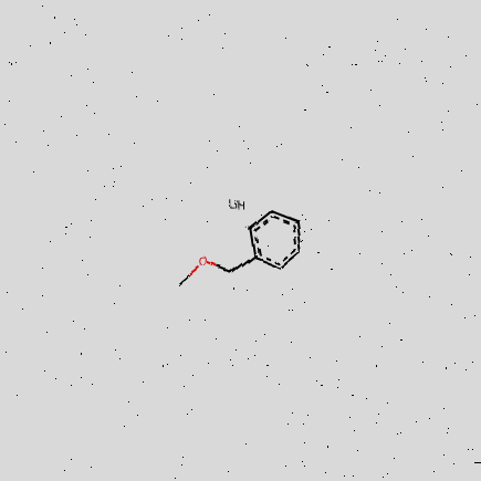 COCc1[c]cccc1.[LiH]